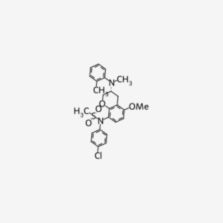 COc1ccc(N(c2ccc(Cl)cc2)S(C)(=O)=O)c2c1C[C@@H](N(C)c1ccccc1C)CO2